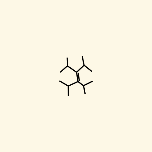 CC(C)C(=C(C(C)C)C(C)C)C(C)C